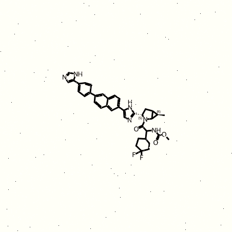 COC(=O)NC(C(=O)N1C2C(C[C@H]1c1ncc(-c3ccc4cc(-c5ccc(-c6cnc[nH]6)cc5)ccc4c3)[nH]1)[C@H]2C)C1CCC(F)(F)CC1